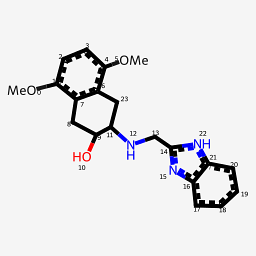 COc1ccc(OC)c2c1CC(O)C(NCc1nc3ccccc3[nH]1)C2